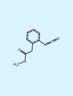 COC(=O)Cc1ccccc1N=C=O